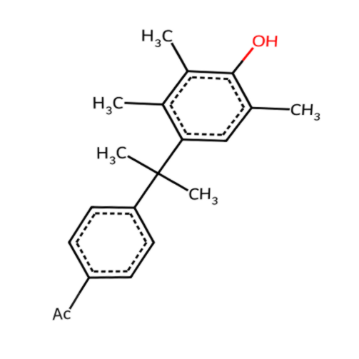 CC(=O)c1ccc(C(C)(C)c2cc(C)c(O)c(C)c2C)cc1